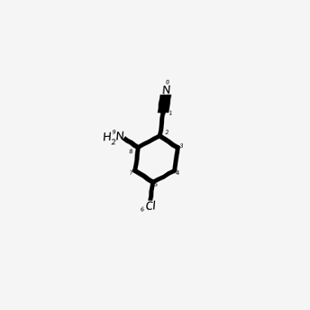 N#CC1CCC(Cl)CC1N